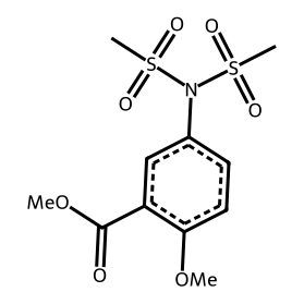 COC(=O)c1cc(N(S(C)(=O)=O)S(C)(=O)=O)ccc1OC